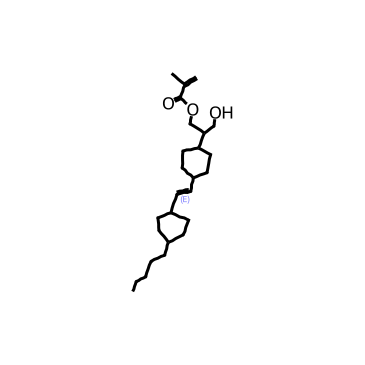 C=C(C)C(=O)OCC(CO)C1CCC(/C=C/C2CCC(CCCCC)CC2)CC1